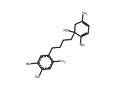 CC1=CC=C(C(C)(C)C)C(O)(CCCCc2cc(C(C)(C)C)c(O)cc2C)C1